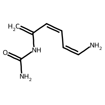 C=C(/C=C\C=C/N)NC(N)=O